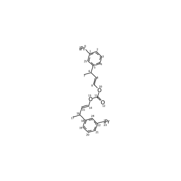 CC(C)c1cccc(C(C)C=COC(=O)OC=CC(C)c2cccc(C(C)C)c2)c1